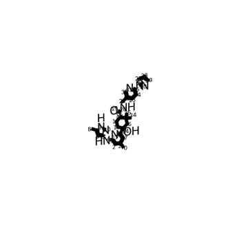 Cc1cc(Nc2cc(C)[nH]n2)nc([C@]2(O)CC[C@@H](C(=O)NCc3ccc(-n4cccn4)nc3)C(C)(C)C2)c1